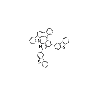 C1=CC2c3ccc4c5ccccc5n(-c5cccc(-c6ccc7sc8c(c7c6)C=CCC8)c5)c4c3N(c3cccc(-c4ccc5sc6ccccc6c5c4)n3)C2C=C1